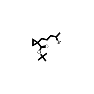 CC(Br)CCCC1(C(=O)OC(C)(C)C)CC1